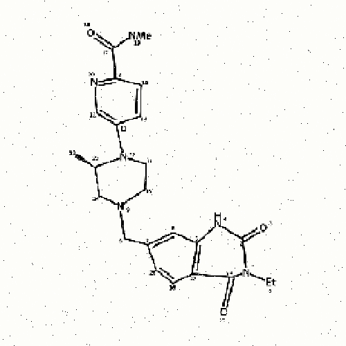 CCn1c(=O)[nH]c2cc(CN3CCN(c4ccc(C(=O)NC)nc4)[C@H](C)C3)ccc2c1=O